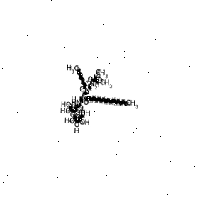 C=C(CCCCCCC)C(=O)N(CCNC(=O)C(COC)COC)CCN(CCNC(=O)C(O)C(O)C(O[C@@H]1OC(CO)[C@H](O)[C@H](O)C1O)C(O)CO)C(=O)CCCCCCC/C=C/CCCCCCCC